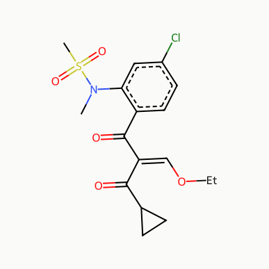 CCOC=C(C(=O)c1ccc(Cl)cc1N(C)S(C)(=O)=O)C(=O)C1CC1